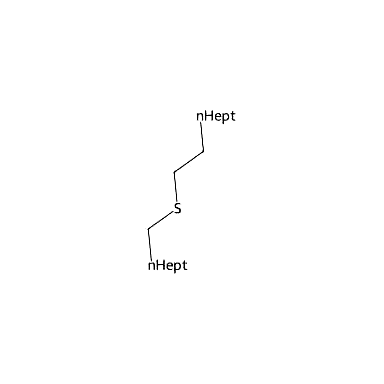 [CH2]CCCCCCCSCCCCCCCCC